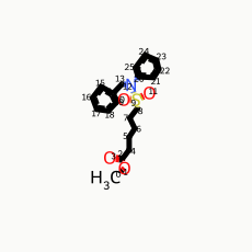 COC(=O)CCCCCS(=O)(=O)N(Cc1ccccc1)c1ccccc1